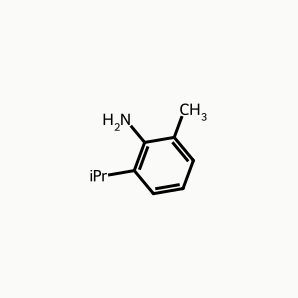 Cc1cccc(C(C)C)c1N